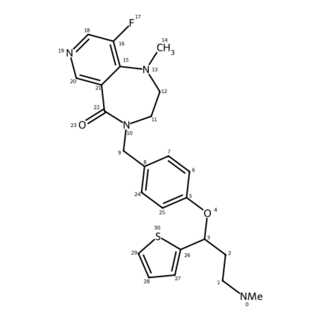 CNCCC(Oc1ccc(CN2CCN(C)c3c(F)cncc3C2=O)cc1)c1cccs1